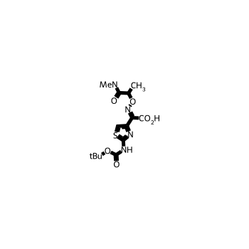 CNC(=O)C(C)ON=C(C(=O)O)c1csc(NC(=O)OC(C)(C)C)n1